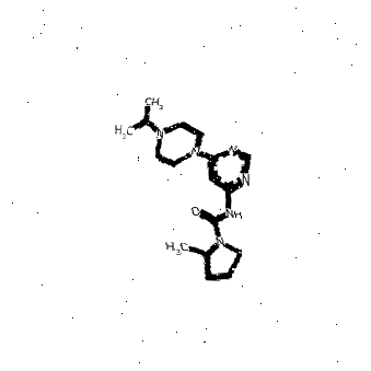 CC(C)N1CCN(c2cc(NC(=O)N3CCCC3C)ncn2)CC1